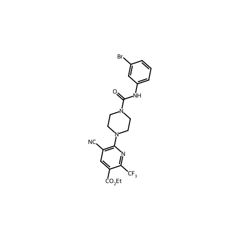 CCOC(=O)c1cc(C#N)c(N2CCN(C(=O)Nc3cccc(Br)c3)CC2)nc1C(F)(F)F